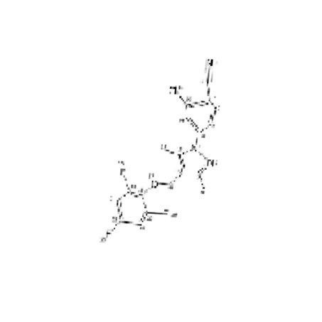 Cc1nn(-c2ccc(C#N)c(Cl)c2)c(C)c1COc1c(F)cc(F)cc1F